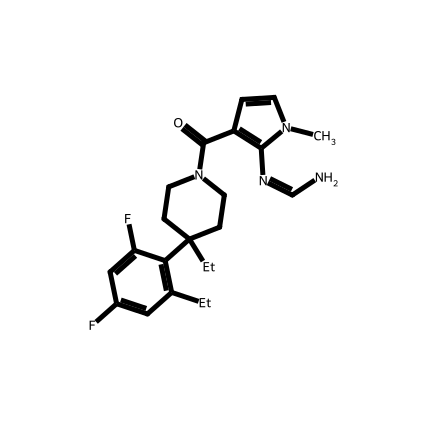 CCc1cc(F)cc(F)c1C1(CC)CCN(C(=O)c2ccn(C)c2/N=C\N)CC1